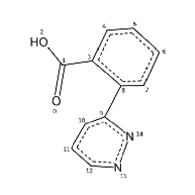 O=C(O)c1ccccc1-c1cccnn1